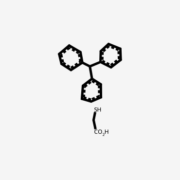 O=C(O)CS.c1ccc(C(c2ccccc2)c2ccccc2)cc1